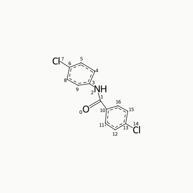 O=C(Nc1ccc(Cl)cc1)c1[c]cc(Cl)cc1